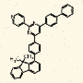 CC1(C)c2ccccc2-c2cccc(-c3ccc(-c4cc(-c5ccc(-c6ccccc6)cc5)nc(-c5ccncc5)n4)cc3)c21